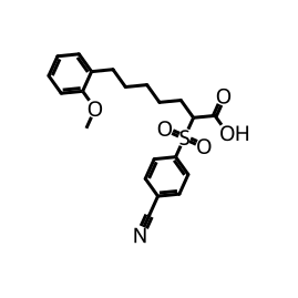 COc1ccccc1CCCCCC(C(=O)O)S(=O)(=O)c1ccc(C#N)cc1